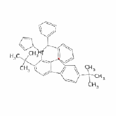 CC(C)(C)c1ccc2c(c1)Cc1c-2ccc(C(C)(C)C)[c]1[Hf]([CH]1C=CC=C1)[CH](c1ccccc1)c1ccccc1